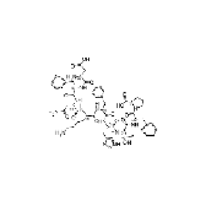 C[C@@H](O)[C@H](NC(=O)[C@H](Cc1c[nH]cn1)NC(=O)[C@H](Cc1ccccc1)NC(=O)[C@H](CCCCN)NC(=O)[C@H](CC(N)=O)NC(=O)[C@H](Cc1ccccc1)NC(=O)[C@@H](N)CC(=O)O)C(=O)N[C@@H](Cc1ccccc1)C(=O)N1CCC[C@H]1C(=O)O